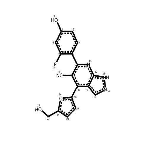 N#Cc1c(-c2ccc(O)cc2F)nc2[nH]ncc2c1-c1ccc(CO)o1